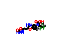 CC(C)(N(C(=O)O)c1ccc2c(c1)NC[C@H](CCc1n[nH]c(=O)o1)O2)C(F)(F)F